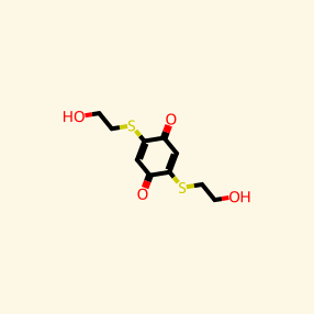 O=C1C=C(SCCO)C(=O)C=C1SCCO